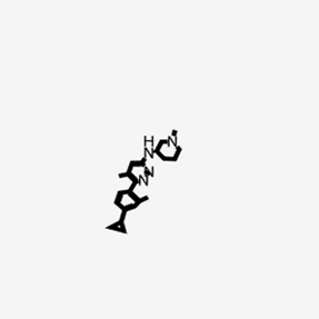 Cc1cc(C2CC2)ccc1-c1nnc(N[C@@H]2CCCN(C)C2)cc1C